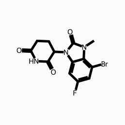 Cn1c(=O)n(C2CCC(=O)NC2=O)c2cc(F)cc(Br)c21